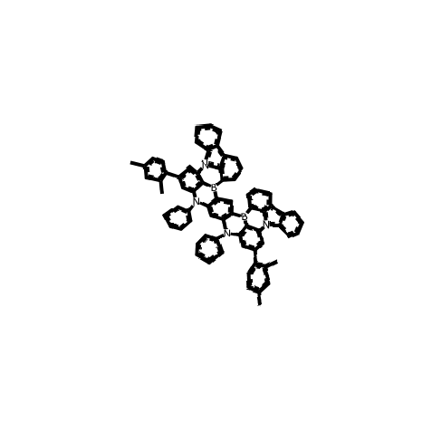 Cc1ccc(-c2cc3c4c(c2)-n2c5ccccc5c5cccc(c52)B4c2cc4c(cc2N3c2ccccc2)N(c2ccccc2)c2cc(-c3ccc(C)cc3C)cc3c2B4c2cccc4c5ccccc5n-3c24)c(C)c1